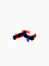 COc1ccc(CC(=O)Nc2ccc(C(=O)N(CC(=O)O)Cc3ccc(OC(=O)c4ccncc4)cc3)cc2)cc1